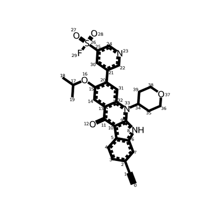 C#Cc1ccc2c(c1)[nH]c1c2c(=O)c2cc(OC(C)C)c(-c3cncc(S(=O)(=O)F)c3)cc2n1C1CCOCC1